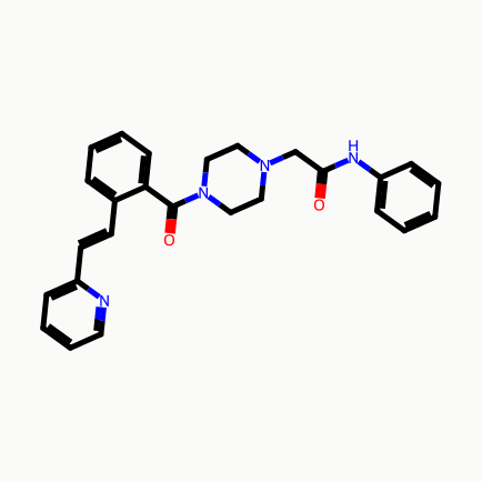 O=C(CN1CCN(C(=O)c2ccccc2C=Cc2ccccn2)CC1)Nc1ccccc1